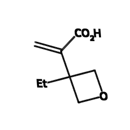 C=C(C(=O)O)C1(CC)COC1